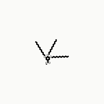 CCCCCCCCCCCCOc1cc(C(=O)OC)cc(OCCCCCCCCCCCC)c1OCCCCCCCCCCCC